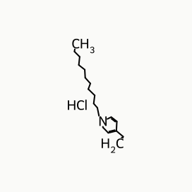 C=CC1=CCN(CCCCCCCCCCCC)C=C1.Cl